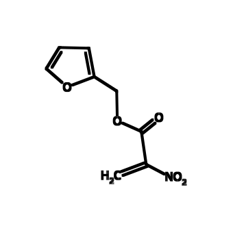 C=C(C(=O)OCc1ccco1)[N+](=O)[O-]